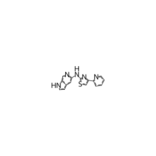 c1ccc(-c2csc(Nc3cc4cc[nH]c4cn3)n2)nc1